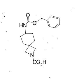 O=C(NC1CCC2(CC1)CN(C(=O)O)C2)OCc1ccccc1